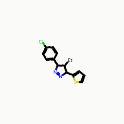 CCC1C(c2ccc(Cl)cc2)N=NC1c1cccs1